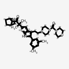 Cc1cc(C)cc(-c2[nH]c3sc(C(C)(C)C(=O)C4C5CCC4NC5)cc3c2CCN2CCN(C(=O)N3CCOCC3)CC2)c1